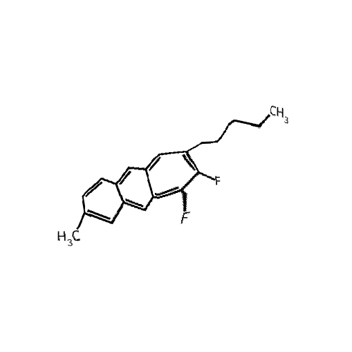 CCCCCc1cc2cc3ccc(C)cc3cc2c(F)c1F